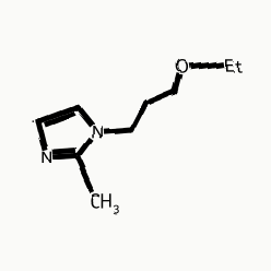 CCOCCCn1c[c]nc1C